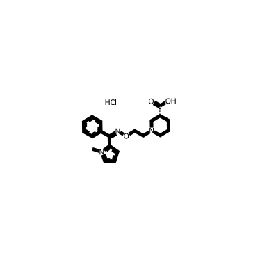 Cl.Cn1cccc1/C(=N\OCCN1CCC[C@@H](C(=O)O)C1)c1ccccc1